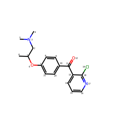 CC(CN(C)C)Oc1ccc(C(=O)c2cccnc2Cl)cc1